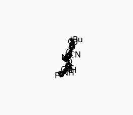 CC(C)(C)OC(=O)N1CCC(COc2cc3nccc(Oc4ccc(NC(=O)Nc5ccc(F)cc5)c(F)c4)c3cc2C#N)CC1